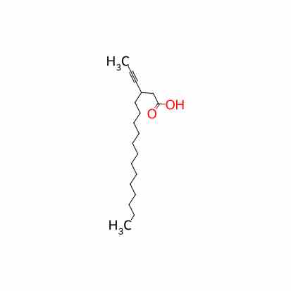 CC#CC(CCCCCCCCCCCCC)CC(=O)O